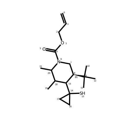 C=CCOC(=O)N1C[C@@H](C(C)(C)C)C(C2(S)CC2)C(C)C1C